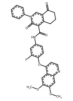 COc1cc2nccc(Oc3ccc(NC(=O)c4c5c(cn(-c6ccccc6)c4=O)C(=O)CCC5)cc3F)c2cc1OC